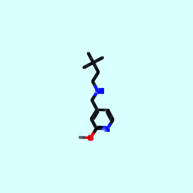 COc1cc(CNCCC(C)(C)C)ccn1